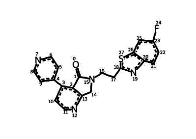 O=C1c2c(-c3ccncc3)ccnc2CN1CCc1nc2ccc(F)cc2s1